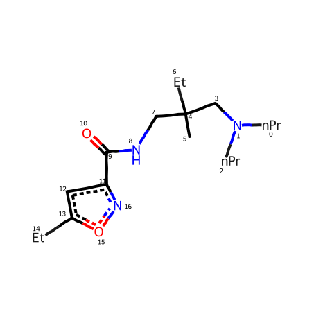 CCCN(CCC)CC(C)(CC)CNC(=O)c1cc(CC)on1